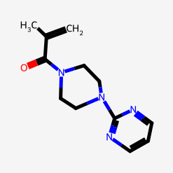 C=C(C)C(=O)N1CCN(c2ncccn2)CC1